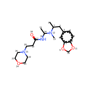 CC(Cc1ccc2c(c1)OCO2)N(C)C(C)NC(=O)CCN1CCOCC1